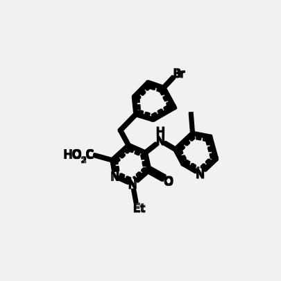 CCn1nc(C(=O)O)c(Cc2ccc(Br)cc2)c(Nc2cnccc2C)c1=O